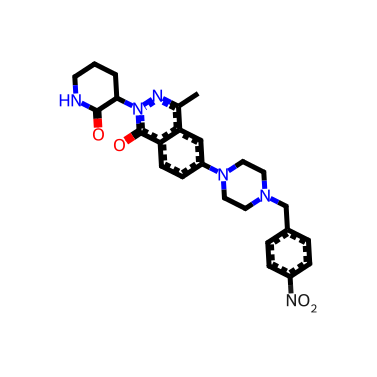 Cc1nn(C2CCCNC2=O)c(=O)c2ccc(N3CCN(Cc4ccc([N+](=O)[O-])cc4)CC3)cc12